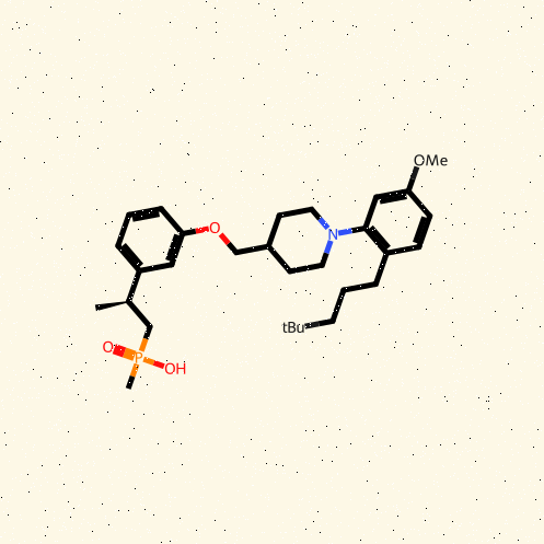 COc1ccc(CCCC(C)(C)C)c(N2CCC(COc3cccc([C@H](C)CP(C)(=O)O)c3)CC2)c1